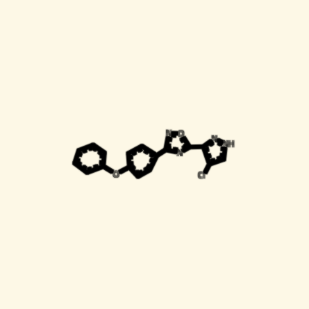 Clc1c[nH]nc1-c1nc(-c2ccc(Oc3ccccc3)cc2)no1